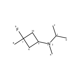 CC(C)N(C)C1CC(C)(F)C1